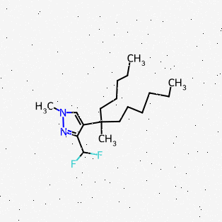 CCCCCCC(C)(CCCCC)c1cn(C)nc1C(F)F